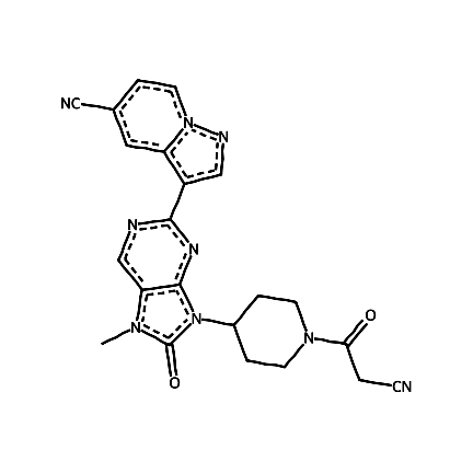 Cn1c(=O)n(C2CCN(C(=O)CC#N)CC2)c2nc(-c3cnn4ccc(C#N)cc34)ncc21